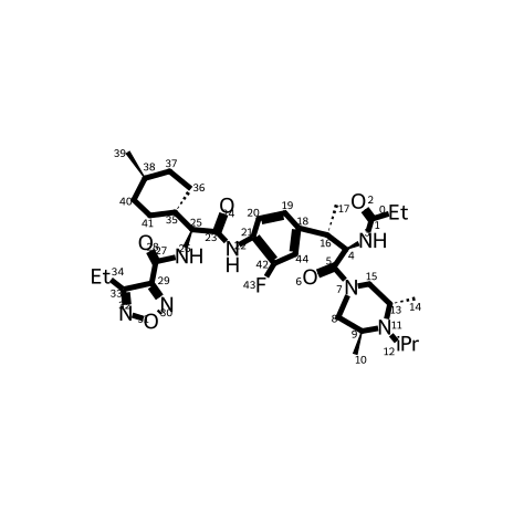 CCC(=O)N[C@@H](C(=O)N1C[C@H](C)N(C(C)C)[C@@H](C)C1)[C@@H](C)c1ccc(NC(=O)[C@@H](NC(=O)c2nonc2CC)[C@H]2CC[C@H](C)CC2)c(F)c1